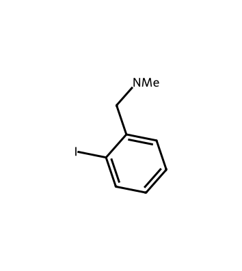 CNCc1ccccc1I